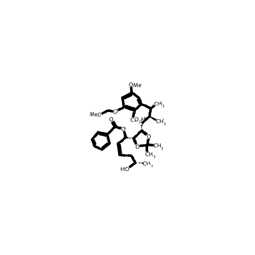 COCOc1cc(OC)cc(C(C)[C@@H](C)C[C@@H]2OC(C)(C)O[C@@H]2C(/C=C\C[C@H](C)O)OC(=O)c2ccccc2)c1C(=O)O